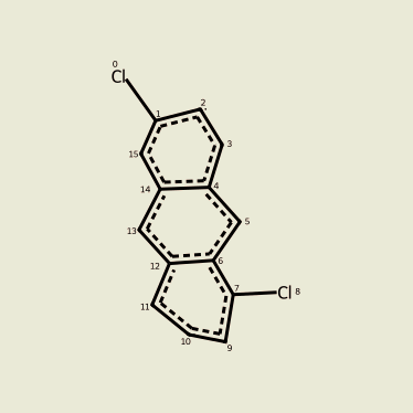 Clc1[c]cc2cc3c(Cl)c[c]cc3cc2c1